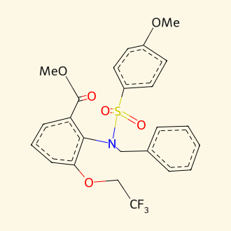 COC(=O)c1cccc(OCC(F)(F)F)c1N(Cc1ccccc1)S(=O)(=O)c1ccc(OC)cc1